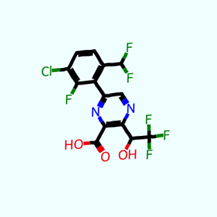 O=C(O)c1nc(-c2c(C(F)F)ccc(Cl)c2F)cnc1C(O)C(F)(F)F